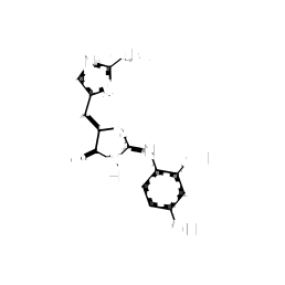 Cc1cc(O)ccc1N=C1NC(=O)C(=Cc2cnc(C(C)(C)C)s2)S1